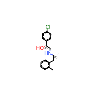 Cc1ccccc1C[C@@H](C)NC[C@H](O)c1ccc(Cl)cc1